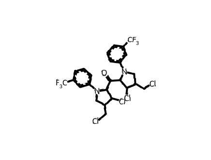 O=C(C1C(Cl)C(CCl)CN1c1cccc(C(F)(F)F)c1)C1C(Cl)C(CCl)CN1c1cccc(C(F)(F)F)c1